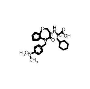 CN(C)c1ccc(CN2C(=O)[C@@H](N[C@@H](CC3CCCCC3)C(=O)O)COc3ccccc32)cc1